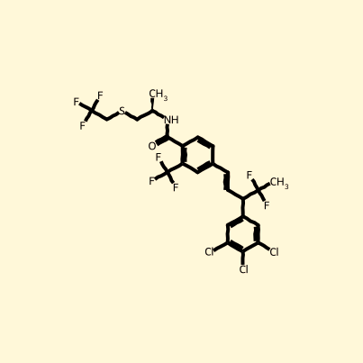 C[C@H](CSCC(F)(F)F)NC(=O)c1ccc(/C=C/C(c2cc(Cl)c(Cl)c(Cl)c2)C(C)(F)F)cc1C(F)(F)F